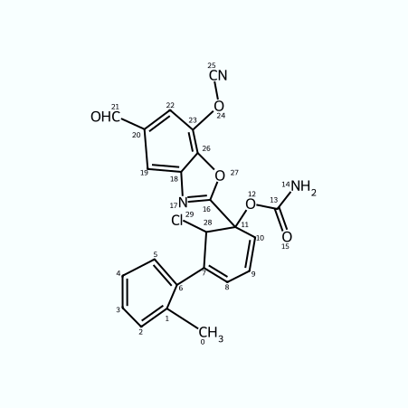 Cc1ccccc1C1=CC=CC(OC(N)=O)(c2nc3cc(C=O)cc(OC#N)c3o2)C1Cl